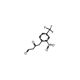 O=CCC(=O)Cc1ccc(C(F)(F)F)cc1[N+](=O)[O-]